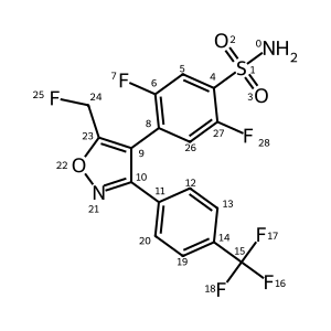 NS(=O)(=O)c1cc(F)c(-c2c(-c3ccc(C(F)(F)F)cc3)noc2CF)cc1F